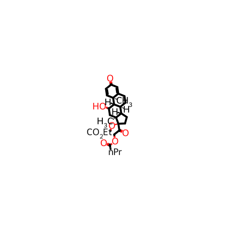 CCCC(=O)OCC(=O)[C@@]1(OC(=O)OCC)CC[C@H]2[C@@H]3CCC4=CC(=O)C=C[C@]4(C)[C@H]3C(O)C[C@@]21C